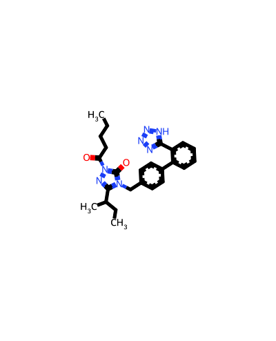 CCCCC(=O)n1nc(C(C)CC)n(Cc2ccc(-c3ccccc3-c3nnn[nH]3)cc2)c1=O